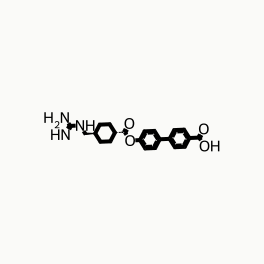 N=C(N)NC[C@H]1CC[C@H](C(=O)Oc2ccc(-c3ccc(C(=O)O)cc3)cc2)CC1